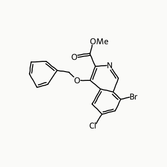 COC(=O)c1ncc2c(Br)cc(Cl)cc2c1OCc1ccccc1